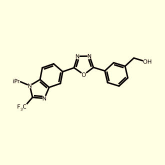 CC(C)n1c(C(F)(F)F)nc2cc(-c3nnc(-c4cccc(CO)c4)o3)ccc21